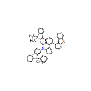 CC1(C)c2ccccc2-c2ccc(N(c3ccc4c(c3)C(C)(c3ccccc3)c3ccccc3-4)c3ccccc3-c3ccccc3-c3cccc4sc5ccccc5c34)cc21